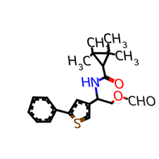 CC1(C)C(C(=O)NC(COC=O)c2csc(-c3ccccc3)c2)C1(C)C